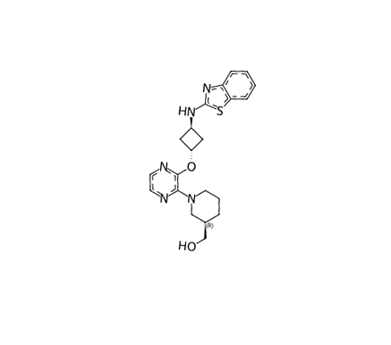 OC[C@@H]1CCCN(c2nccnc2O[C@H]2C[C@H](Nc3nc4ccccc4s3)C2)C1